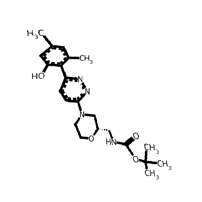 Cc1cc(C)c(-c2ccc(N3CCO[C@@H](CNC(=O)OC(C)(C)C)C3)nn2)c(O)c1